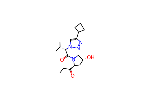 CCC(=O)[C@@H]1C[C@@H](O)CN1C(=O)[C@H](C(C)C)n1cc(C2CCC2)nn1